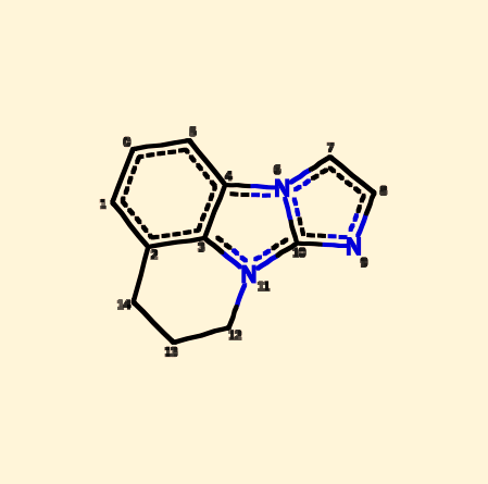 c1cc2c3c(c1)n1ccnc1n3CCC2